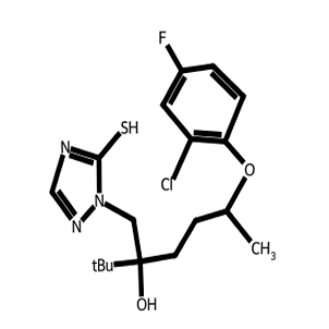 CC(CCC(O)(Cn1ncnc1S)C(C)(C)C)Oc1ccc(F)cc1Cl